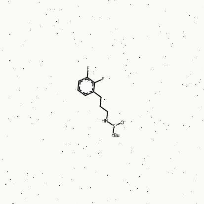 CC(C)(C)[S+]([O-])NCCCc1cccc(F)c1F